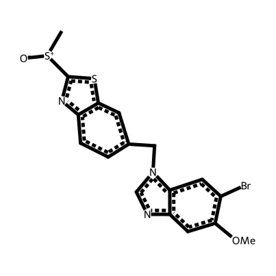 COc1cc2ncn(Cc3ccc4nc([S+](C)[O-])sc4c3)c2cc1Br